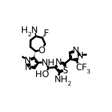 Cn1ncc(NC(O)c2nc(-c3cnn(C)c3C(F)(F)F)sc2N)c1[C@@H]1CC[C@@H](N)[C@H](F)CO1